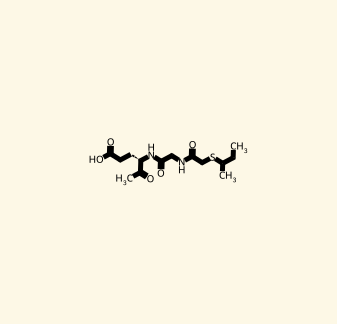 CCC(C)SCC(=O)NCC(=O)N[C@@H](CCC(=O)O)C(C)=O